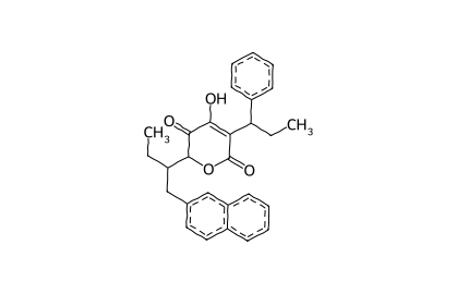 CCC(C1=C(O)C(=O)C(C(CC)Cc2ccc3ccccc3c2)OC1=O)c1ccccc1